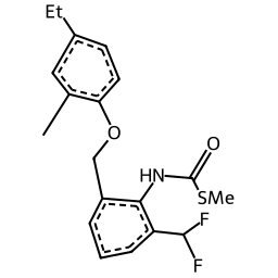 CCc1ccc(OCc2cccc(C(F)F)c2NC(=O)SC)c(C)c1